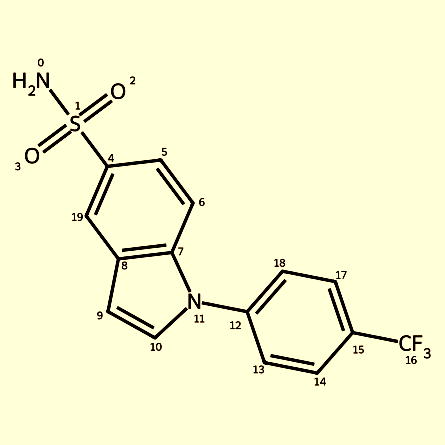 NS(=O)(=O)c1ccc2c(ccn2-c2ccc(C(F)(F)F)cc2)c1